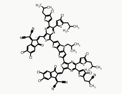 CC(C)Cc1sc(-c2nc3c(/C=C4\C(=O)c5cc(Cl)c(Cl)cc5C4=C(C#N)C#N)sc(-c4cc5c(s4)c4sc(-c6sc(/C=C7\C(=O)c8cc(Cl)c(Cl)cc8C7=C(C#N)C#N)c7nc(-c8cc(Cl)c(CC(C)C#N)s8)c(-c8cc(Cl)c(CC(C)C)s8)nc67)cc4n5CC(C)C)c3nc2-c2cc(Cl)c(CC(C)C)s2)cc1Cl